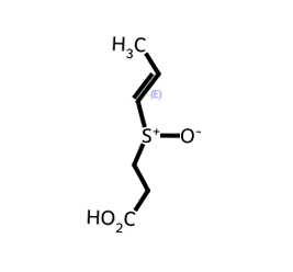 C/C=C/[S+]([O-])CCC(=O)O